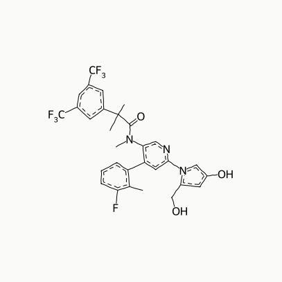 Cc1c(F)cccc1-c1cc(-n2cc(O)cc2CO)ncc1N(C)C(=O)C(C)(C)c1cc(C(F)(F)F)cc(C(F)(F)F)c1